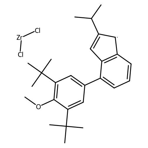 COc1c(C(C)(C)C)cc(-c2cccc3c2C=C(C(C)C)[CH]3)cc1C(C)(C)C.[Cl][Zr][Cl]